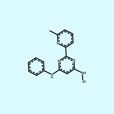 Cc1cccc(-c2nc(Nc3ccccc3)cc(NC(C)C)n2)n1